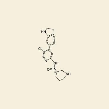 O=C(Nc1cc(-c2ccc3c(c2)NCC3)c(Cl)cn1)[C@@H]1CCCNC1